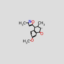 COc1ccc2c(c1)C(=O)[C]C(C)C2c1cc(C)no1